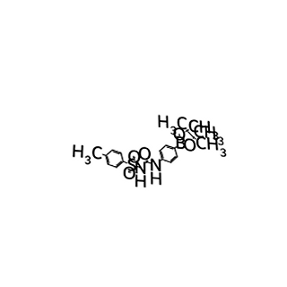 Cc1ccc(S(=O)(=O)NC(=O)Nc2ccc(B3OC(C)(C)C(C)(C)O3)cc2)cc1